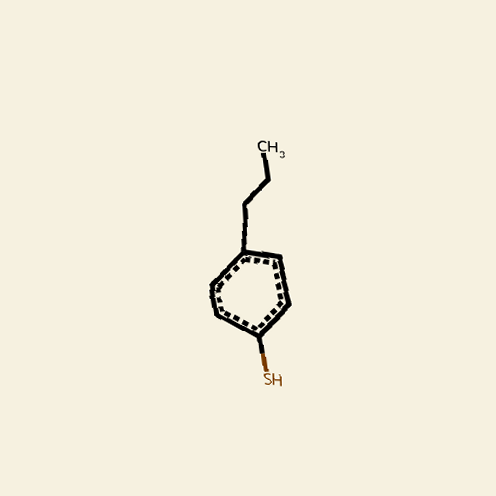 CCCc1ccc(S)cc1